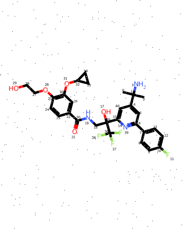 CC(C)(N)c1cc(-c2ccc(F)cc2)nc(C(O)(CNC(=O)c2ccc(OCCO)c(OC3CC3)c2)C(F)(F)F)c1